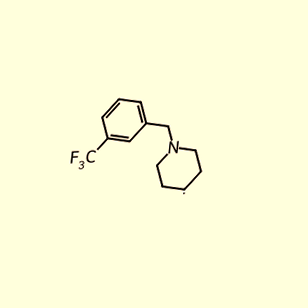 FC(F)(F)c1cccc(CN2CC[CH]CC2)c1